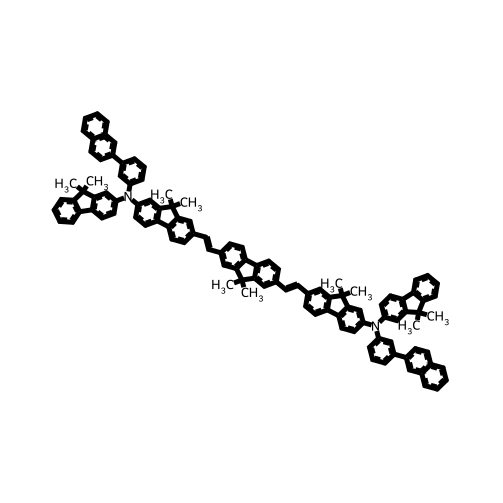 CC1(C)c2cc(/C=C/c3ccc4c(c3)C(C)(C)c3cc(N(c5cccc(-c6ccc7ccccc7c6)c5)c5ccc6c(c5)C(C)(C)c5ccccc5-6)ccc3-4)ccc2-c2ccc(/C=C/c3ccc4c(c3)C(C)(C)c3cc(N(c5cccc(-c6ccc7ccccc7c6)c5)c5ccc6c(c5)C(C)(C)c5ccccc5-6)ccc3-4)cc21